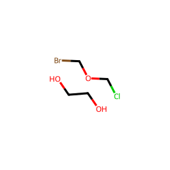 ClCOCBr.OCCO